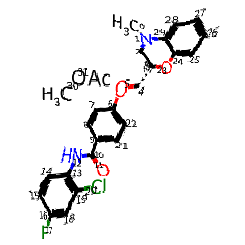 CN1C[C@@H](COc2ccc(C(=O)Nc3ccc(F)cc3Cl)cc2)Oc2ccccc21.COC(C)=O